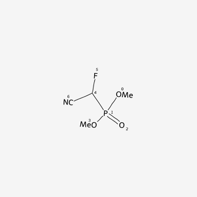 COP(=O)(OC)C(F)C#N